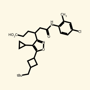 Cc1cc(Cl)ccc1NC(=O)CC(CCC(=O)O)c1noc(C2CC(CC(C)(C)C)C2)c1C1CC1